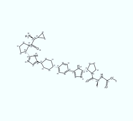 COC(=O)N[C@@H](C)C(=O)N1CCC[C@H]1c1ncc(-c2ccc([C@H]3CC[C@H](c4cnc([C@@H]5CCCN5C(=O)[C@@H](N)C5CC5)[nH]4)CC3)cc2)[nH]1